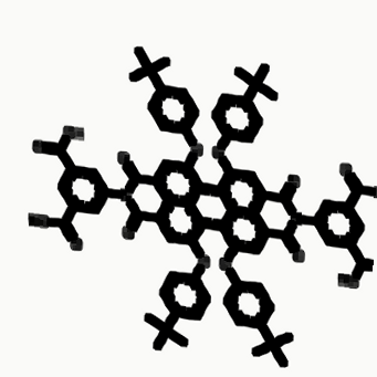 CC(C)(C)c1ccc(Oc2cc3c4c(cc(Oc5ccc(C(C)(C)C)cc5)c5c6c(Oc7ccc(C(C)(C)C)cc7)cc7c8c(cc(Oc9ccc(C(C)(C)C)cc9)c(c2c45)c86)C(=O)N(c2cc(C(=O)O)cc(C(=O)O)c2)C7=O)C(=O)N(c2cc(C(=O)O)cc(C(=O)O)c2)C3=O)cc1